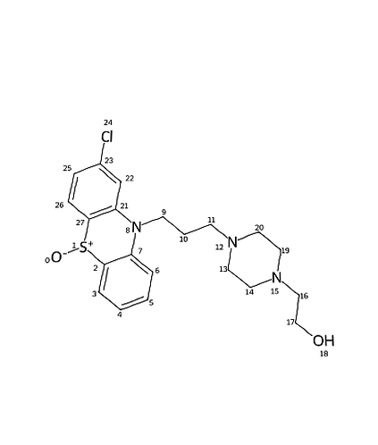 [O-][S+]1c2ccccc2N(CCCN2CCN(CCO)CC2)c2cc(Cl)ccc21